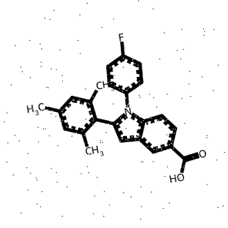 Cc1cc(C)c(-c2cc3cc(C(=O)O)ccc3n2-c2ccc(F)cc2)c(C)c1